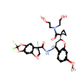 C[C@]1(C(=O)N[C@H]2C[C@@H](C3(C(=O)N(CCO)CCO)CC3)Oc3cc(OC(F)(F)F)ccc32)COc2cc3c(cc21)OC(F)(F)O3